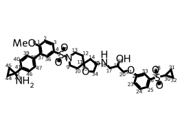 COc1ccc(S(=O)(=O)N2CCC3(CC2)C[C@H](NCC(O)COc2cccc(S(=O)(=O)C4CC4)c2)CO3)cc1-c1ccc(C2(N)CC2)cc1